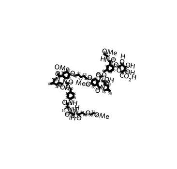 C=C1C[C@H]2C(O)N(C(=O)OCc3ccc(NC(=O)[C@H](C)NC(=O)[C@@H](NC(=O)CCOCCOC)C(C)C)cc3)c3cc(OCCCCCOc4cc5c(cc4OC)C(=O)N4CC(=C)C[C@H]4C(O)N5C(=O)OCc4ccc(O[C@@H]5O[C@H](C(=O)O)[C@@H](O)[C@H](O)[C@H]5O)c(C(=O)NCCOC)c4)c(OC)cc3C(=O)N2C1